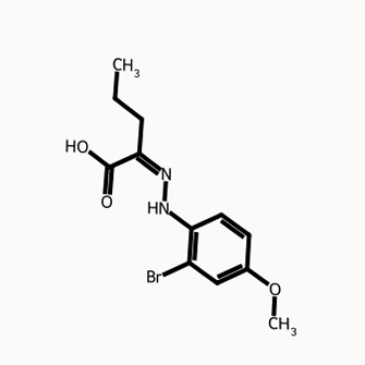 CCCC(=NNc1ccc(OC)cc1Br)C(=O)O